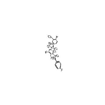 Cc1c(F)cc(C2(C(N)=O)C(c3ccc(F)c(Cl)c3)C2(Cl)Cl)cc1C(=O)Nc1ccc(F)cc1